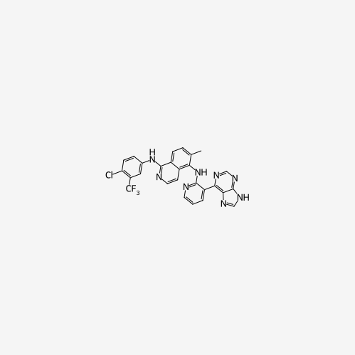 Cc1ccc2c(Nc3ccc(Cl)c(C(F)(F)F)c3)nccc2c1Nc1ncccc1-c1ncnc2[nH]cnc12